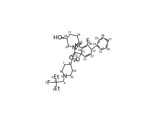 CCC(F)(CC)CN1CCC(COC2(C(=O)N3CCCC(O)C3)C=CC(c3ccccc3)C(F)=C2C#N)CC1